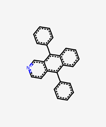 c1ccc(-c2c3ccccc3c(-c3ccccc3)c3cnccc23)cc1